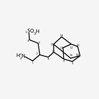 NCC(CCS(=O)(=O)O)CC1C2CC3CC(C2)CC1C3